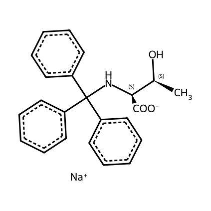 C[C@H](O)[C@H](NC(c1ccccc1)(c1ccccc1)c1ccccc1)C(=O)[O-].[Na+]